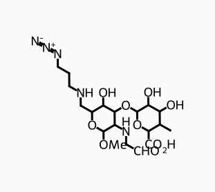 COC1OC(CNCCCN=[N+]=[N-])C(O)C(OC2OC(C(=O)O)C(C)C(O)C2O)C1NCC=O